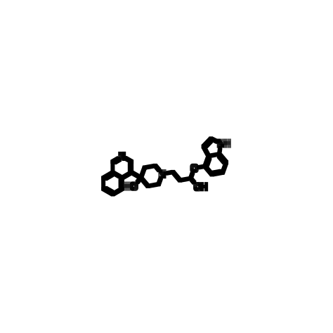 OC(CCN1CCC(O)(c2cncc3ccccc23)CC1)Oc1cccc2[nH]ccc12